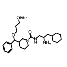 COCCCOC(c1ccccc1)C1CCCN(C(=O)NCC(N)CC2CCCCC2)C1